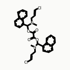 CN(CC=CCl)C(OC(=O)C(=O)OC(c1cccc2ccccc12)N(C)CC=CCl)c1cccc2ccccc12